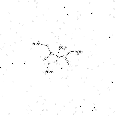 CCCCCCCCCCCCC(C(=O)O)(C(=O)CCCCCCCCCCC)C(=O)CCCCCCCCCCC